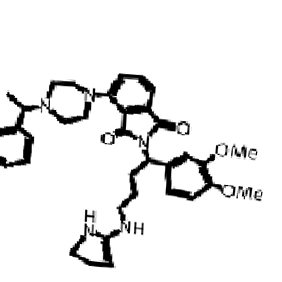 COc1ccc(C(CCCNC2=CCCN2)N2C(=O)c3cccc(N4CCN(C(C)c5ccccc5)CC4)c3C2=O)cc1OC